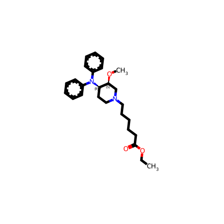 CCOC(=O)CCCCCN1CC[C@@H](N(c2ccccc2)c2ccccc2)[C@@H](OC)C1